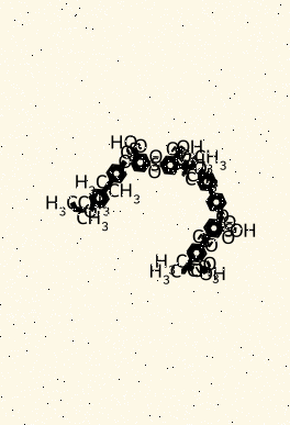 CCC(C)(C)Oc1ccc(C(C)(C)c2ccc(Oc3ccc(S(=O)(=O)c4ccc(C(C)(CC)C(C)(CC)Oc5ccc(-c6ccc(Oc7ccc(S(=O)(=O)c8ccc(C(C)(C)CC)c(S(=O)(=O)O)c8)cc7S(=O)(=O)O)cc6)cc5)c(S(=O)(=O)O)c4)cc3S(=O)(=O)O)cc2)cc1